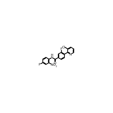 O=C(Nc1ccc(F)cc1[N+](=O)[O-])c1ccc(-c2ncccc2Cl)c(F)c1